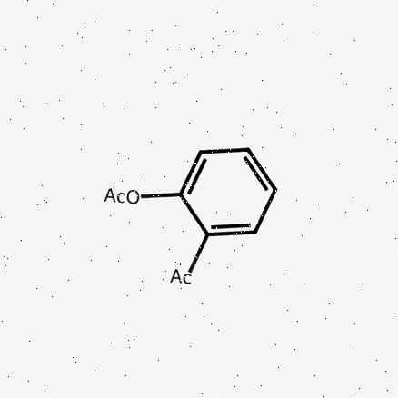 CC(=O)Oc1ccccc1C(C)=O